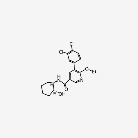 CCOc1ncc(C(=O)N[C@@H]2CCCC[C@H]2O)cc1-c1ccc(Cl)c(Cl)c1